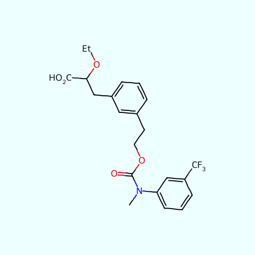 CCOC(Cc1cccc(CCOC(=O)N(C)c2cccc(C(F)(F)F)c2)c1)C(=O)O